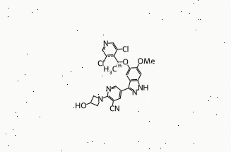 COc1cc2[nH]nc(-c3cnc(N4CC(O)C4)c(C#N)c3)c2cc1O[C@H](C)c1c(Cl)cncc1Cl